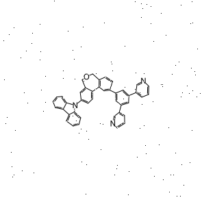 c1cncc(-c2cc(-c3cccnc3)cc(-c3ccc4c(c3)-c3ccc(-n5c6ccccc6c6ccccc65)cc3COC4)c2)c1